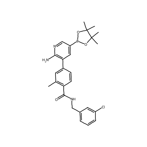 Cc1cc(-c2cc(B3OC(C)(C)C(C)(C)O3)cnc2N)ccc1C(=O)NCc1cccc(Cl)c1